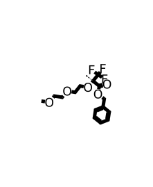 COCCOCCO[C@](C)(C(=O)OCc1ccccc1)C(F)(F)F